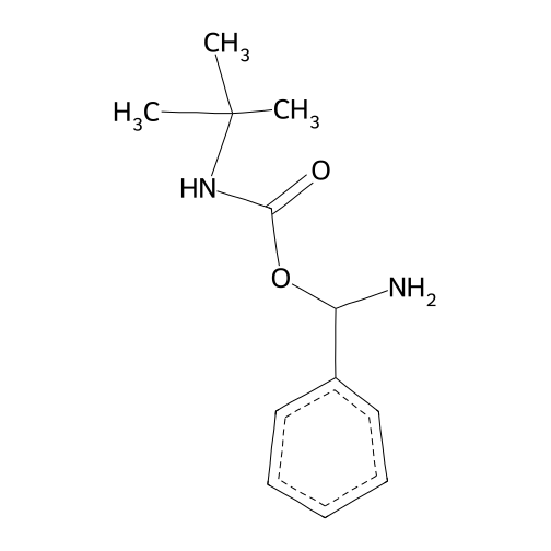 CC(C)(C)NC(=O)OC(N)c1ccccc1